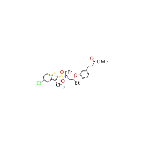 CCCN(CC(CC)Oc1cccc(CCC(=O)OC)c1)S(=O)(=O)c1sc2ccc(Cl)cc2c1C